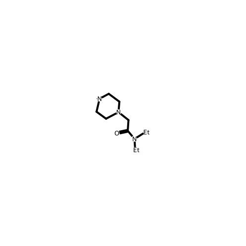 CCN(CC)C(=O)CN1CC[N]CC1